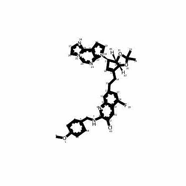 COc1ccc(CNc2nc3cc(CCC4=C[C@@H](n5ccc6c5ncn5ccnc65)[C@@H]5OC(C)(C)O[C@H]45)cc(F)c3cc2Cl)cc1